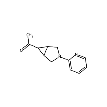 CC(=O)C1C2CN(c3ccccn3)CC21